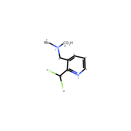 CC(C)(C)N(Cc1cccnc1C(F)F)C(=O)O